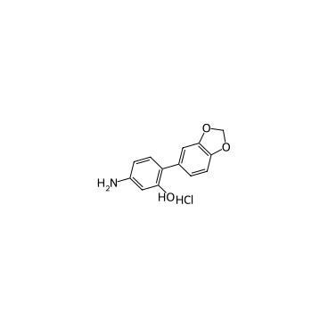 Cl.Nc1ccc(-c2ccc3c(c2)OCO3)c(O)c1